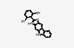 CC(C)c1cccc(C(C)C)c1-c1nc2cc3c(cc2[nH]1)[nH]c1ccccc13